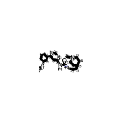 COc1cccc(-c2cc(N/C3=N/CCC4CCN(CC4)CO3)ncn2)c1